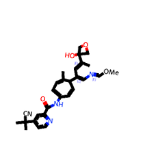 CO/C=N/C=C(\C=C(/C)C1(O)COC1)C1C=CC(NC(=O)c2cc(C(C)(C)C#N)ccn2)=CC=C1C